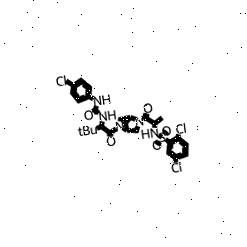 CC(NS(=O)(=O)c1cc(Cl)ccc1Cl)C(=O)N1CC2CC1CN2C(=O)C(NC(=O)Nc1ccc(Cl)cc1)C(C)(C)C